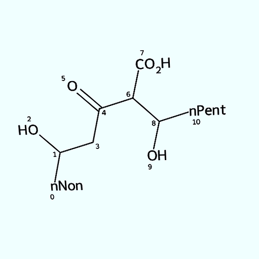 CCCCCCCCCC(O)CC(=O)C(C(=O)O)C(O)CCCCC